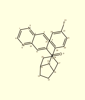 O=C(c1ccc2nccnc2c1)N1C2CCC1CC(c1ccc(F)cc1)C2